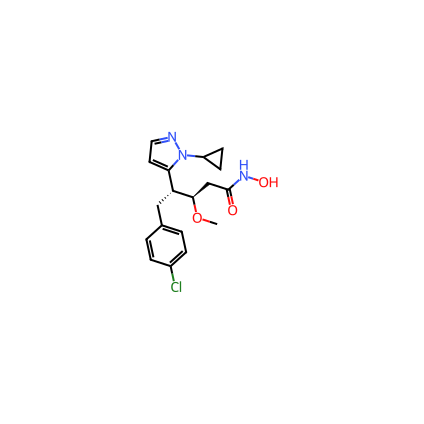 CO[C@H](CC(=O)NO)[C@H](Cc1ccc(Cl)cc1)c1ccnn1C1CC1